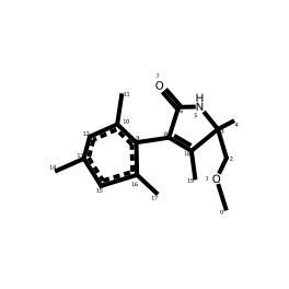 COCC1(C)NC(=O)C(c2c(C)cc(C)cc2C)=C1C